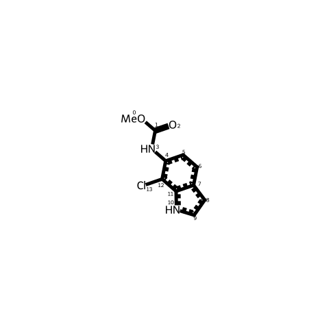 COC(=O)Nc1ccc2cc[nH]c2c1Cl